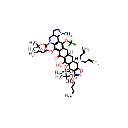 C=CCN(CC=C)[C@@H]1c2onc(OCCCC)c2C(=O)[C@@]2(O[Si](C)(C)C(C)(C)C)C(O)=C3C(=O)c4c(c(OC(F)(F)F)c5c(c4OCCCC)N(C(=O)OC(C)(C)C)CC4CCN(C)C54)C[C@H]3C[C@@H]12